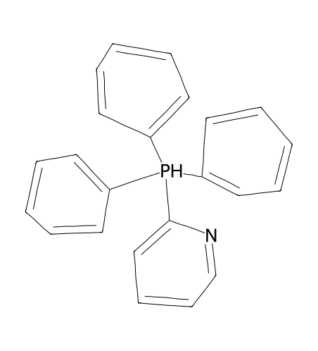 c1ccc([PH](c2ccccc2)(c2ccccc2)c2ccccn2)cc1